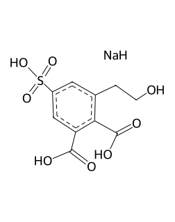 O=C(O)c1cc(S(=O)(=O)O)cc(CCO)c1C(=O)O.[NaH]